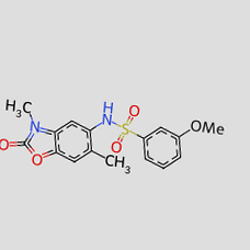 COc1cccc(S(=O)(=O)Nc2cc3c(cc2C)oc(=O)n3C)c1